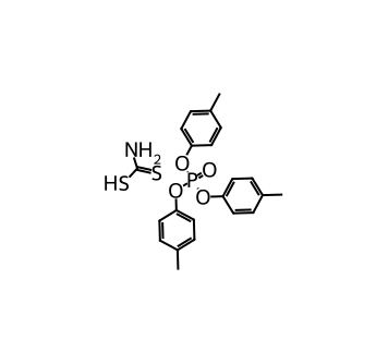 Cc1ccc(OP(=O)(Oc2ccc(C)cc2)Oc2ccc(C)cc2)cc1.NC(=S)S